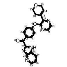 O=C(c1ccc(Oc2nccnc2C2=CCOCC2)cc1)c1nc2ncccc2[nH]1